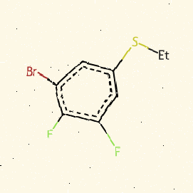 CCSc1cc(F)c(F)c(Br)c1